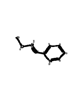 CON=Cc1ccccn1